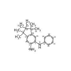 CC1(C)c2cc(N)c(Nc3ccccc3)cc2C(C)(C)C1(C)C